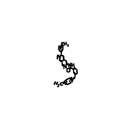 CN1CCN(Cc2cccc(C(=O)Nc3cc4cc(-c5cnn(C)c5)ncc4cn3)c2)CC1